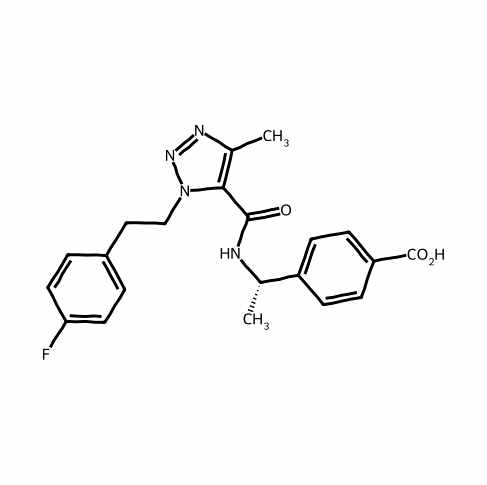 Cc1nnn(CCc2ccc(F)cc2)c1C(=O)N[C@@H](C)c1ccc(C(=O)O)cc1